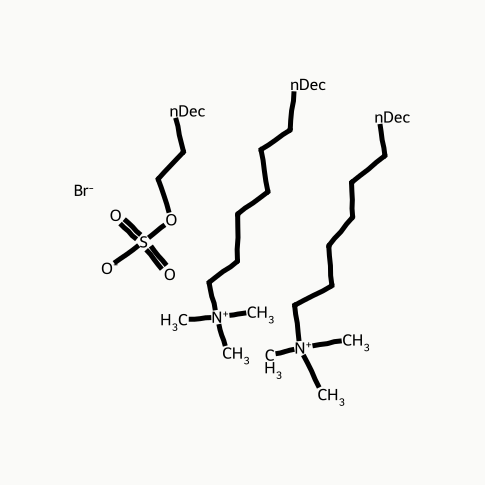 CCCCCCCCCCCCCCCC[N+](C)(C)C.CCCCCCCCCCCCCCCC[N+](C)(C)C.CCCCCCCCCCCCOS(=O)(=O)[O-].[Br-]